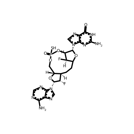 Nc1nc2c(ncn2[C@@H]2OC3CC[C@H]4[C@H](F)[C@H](n5cnc6c(N)ncnc65)O[C@@H]4COP(=O)(S)O[C@@H]2[C@@H]3F)c(=O)[nH]1